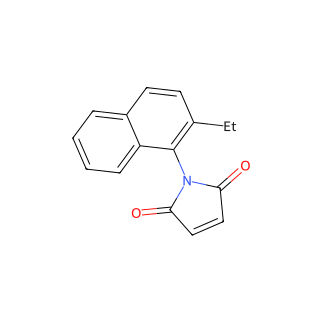 CCc1ccc2ccccc2c1N1C(=O)C=CC1=O